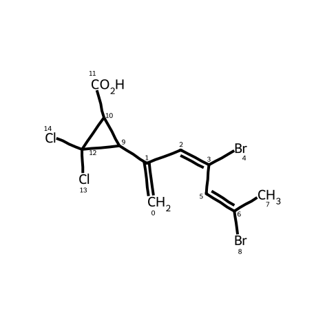 C=C(/C=C(Br)\C=C(/C)Br)C1C(C(=O)O)C1(Cl)Cl